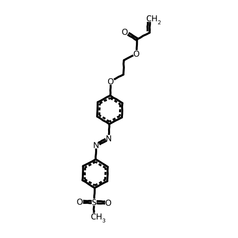 C=CC(=O)OCCOc1ccc(/N=N/c2ccc(S(C)(=O)=O)cc2)cc1